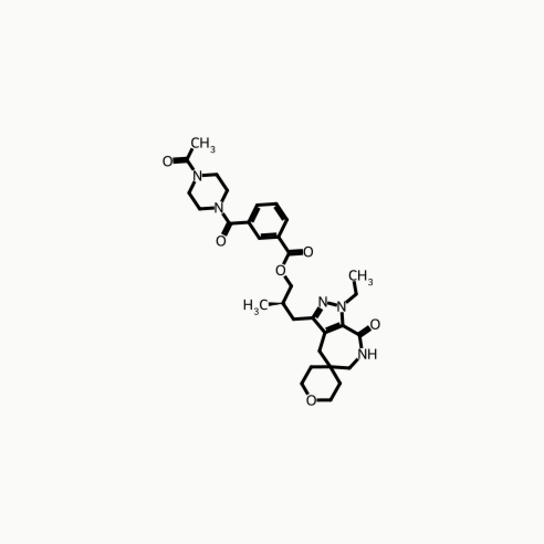 CCn1nc(C[C@@H](C)COC(=O)c2cccc(C(=O)N3CCN(C(C)=O)CC3)c2)c2c1C(=O)NCC1(CCOCC1)C2